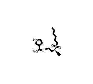 C#CN(CCC)S(=O)(=O)CCCCCC.O=C(O)C1CCNC1